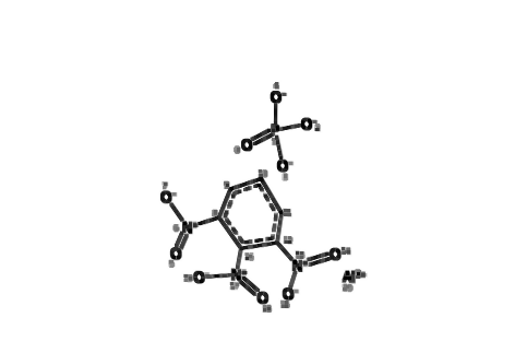 O=P([O-])([O-])[O-].O=[N+]([O-])c1cccc([N+](=O)[O-])c1[N+](=O)[O-].[Al+3]